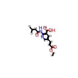 CCOC(=O)C=Cc1cnc(NC(=O)CC(C)C)c(C(=O)O)c1